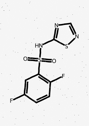 O=S(=O)(Nc1ncns1)c1cc(F)ccc1F